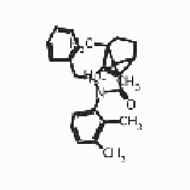 Cc1cccc(-n2c(=O)c3c(n2Cc2ccccc2)C2(C)CCC3C2(C)C)c1C